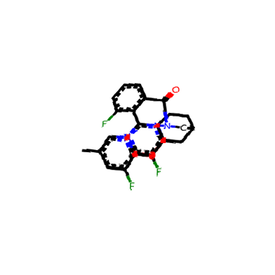 Cc1cnc(OC2CC3CCC2N(C(=O)c2cccc(F)c2-c2ncc(F)cn2)C3)c(F)c1